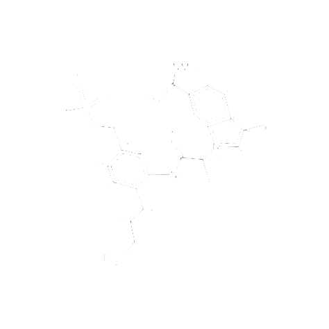 CNC(=O)c1ccc2c(C)cn(C(C)C(=O)Nc3cc(COS(C)(=O)=O)ccc3CCCC(=O)O)c2c1